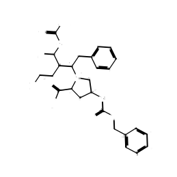 CCCC(C(C)NC(C)=O)C(Cc1ccccc1)N1CC(NC(=O)OCc2ccccc2)CC1C(=O)O